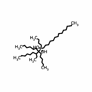 CCCCCCCCCCCCCCP(O)(O)(CCCC)C(CCCCCC)(CCCCCC)C(CC)CCCCCC